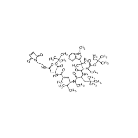 C/C(=C\[C@H](C(C)C)N(C)C(=O)C(CC(C)(C)C)NC(=O)[C@@H](N(C)C(=O)OC(C)(C)C)C(C)(C)c1cn(C)c2ccccc12)C(=O)N[C@H](CC(=O)NCCN1C(=O)C=CC1=O)C(=O)OC(C)(C)C